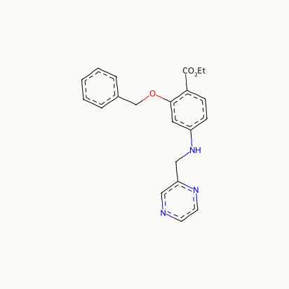 CCOC(=O)c1ccc(NCc2cnccn2)cc1OCc1ccccc1